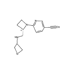 C#Cc1ccc(N2CC[C@H]2CNC2COC2)nc1